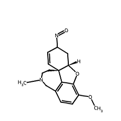 COc1ccc2c3c1O[C@H]1CC(N=O)C=C[C@@]31CCN(C)C2